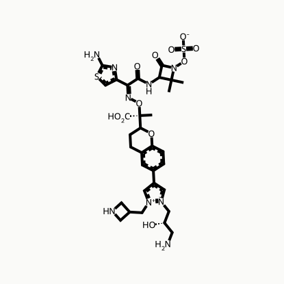 CC1(C)C(NC(=O)/C(=N\O[C@](C)(C(=O)O)C2CCc3cc(-c4cn(C[C@@H](O)CN)[n+](CC5CNC5)c4)ccc3O2)c2csc(N)n2)C(=O)N1OS(=O)(=O)[O-]